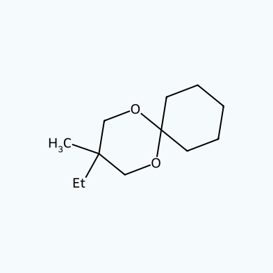 CCC1(C)COC2(CCCCC2)OC1